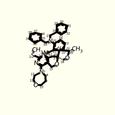 CSc1nc2c(c(N3CCCOCC3)n1)CO[C@@]1(CO[C@@H](C)c3ccc(N(Cc4ccccc4)Cc4ccccc4)c(C#N)c31)C2